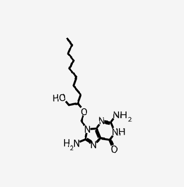 CCCCCCCCC(CO)OCn1c(N)nc2c(=O)[nH]c(N)nc21